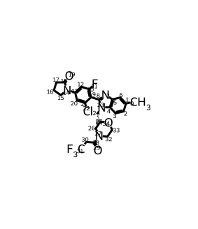 Cc1ccc2c(c1)nc(-c1c(F)cc(N3CCCC3=O)cc1Cl)n2C[C@H]1CN(C(=O)CC(F)(F)F)CCO1